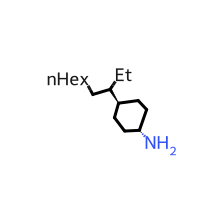 CCCCCCCC(CC)[C@H]1CC[C@H](N)CC1